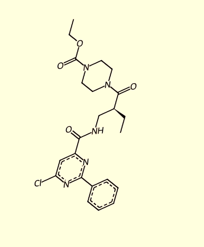 CCOC(=O)N1CCN(C(=O)[C@@H](CC)CNC(=O)c2cc(Cl)nc(-c3ccccc3)n2)CC1